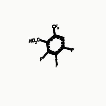 O=C(O)c1c(C(F)(F)F)cc(F)c(F)c1F